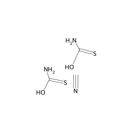 C#N.NC(O)=S.NC(O)=S